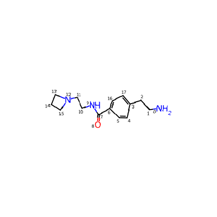 NCCc1ccc(C(=O)NCCN2CCC2)cc1